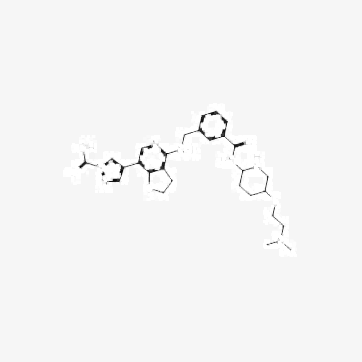 CN(C)CCOC1CCC(NC(=O)c2cccc(CNc3ncc(-c4cnn(C(=O)O)c4)c4c3CCO4)c2)NC1